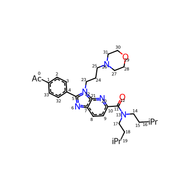 CC(=O)c1ccc(-c2nc3ccc(C(=O)N(CCC(C)C)CCC(C)C)nc3n2CCCN2CCOCC2)cc1